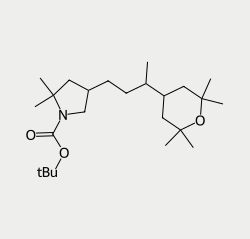 CC(CCC1CN(C(=O)OC(C)(C)C)C(C)(C)C1)C1CC(C)(C)OC(C)(C)C1